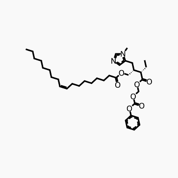 CCCCCCCC/C=C\CCCCCCCC(=O)OC[C@H](Cc1cncn1C)[C@H](CC)C(=O)OCOC(=O)Oc1ccccc1